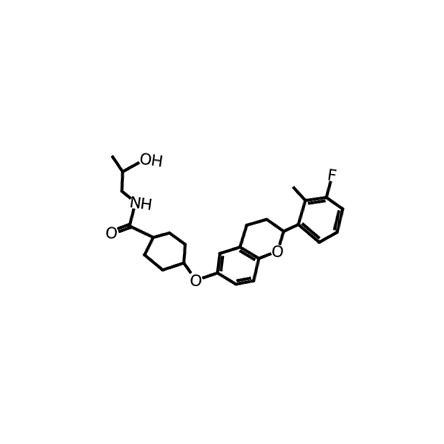 Cc1c(F)cccc1C1CCc2cc(OC3CCC(C(=O)NCC(C)O)CC3)ccc2O1